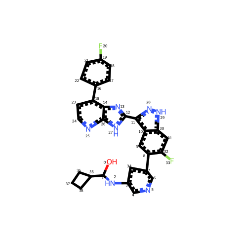 OC(Nc1cncc(-c2cc3c(-c4nc5c(-c6ccc(F)cc6)ccnc5[nH]4)n[nH]c3cc2F)c1)C1CCC1